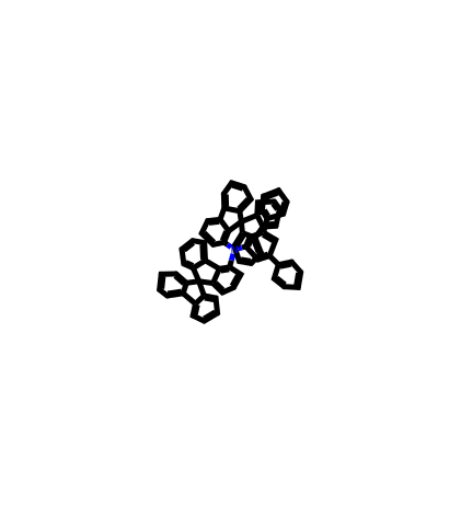 c1ccc(-c2cc(-c3ccccc3)cc(N(c3cccc4c3-c3ccccc3C43c4ccccc4-c4ccccc43)c3cccc4c3C3(c5ccccc5-c5ccccc53)c3ccccc3-4)c2)cc1